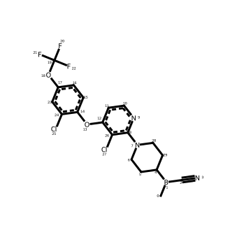 CB(C#N)C1CCN(c2nccc(Oc3ccc(OC(F)(F)F)cc3Cl)c2Cl)CC1